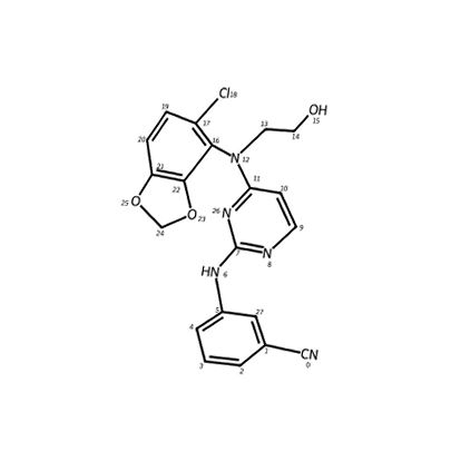 N#Cc1cccc(Nc2nccc(N(CCO)c3c(Cl)ccc4c3OCO4)n2)c1